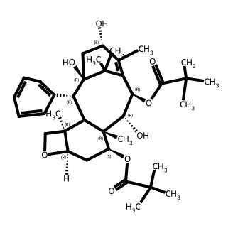 CC1=C2[C@@H](OC(=O)C(C)(C)C)[C@H](O)[C@@]3(C)C([C@H](c4ccccc4)[C@](O)(C[C@@H]1O)C2(C)C)[C@]1(C)CO[C@@H]1C[C@@H]3OC(=O)C(C)(C)C